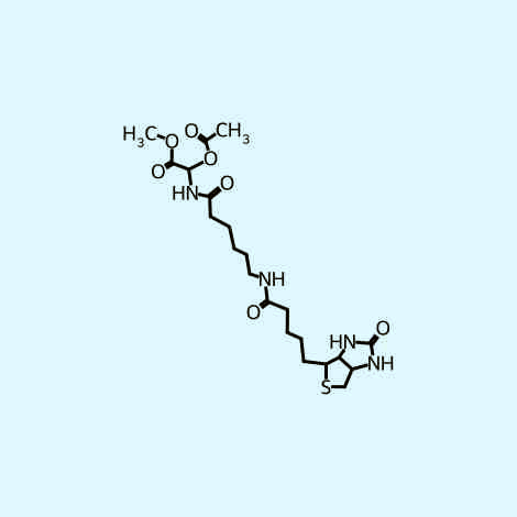 COC(=O)C(NC(=O)CCCCCNC(=O)CCCCC1SCC2NC(=O)NC21)OC(C)=O